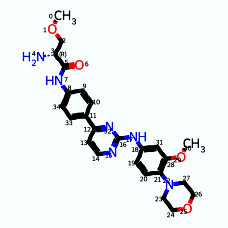 COC[C@@H](N)C(=O)Nc1ccc(-c2ccnc(Nc3ccc(N4CCOCC4)c(OC)c3)n2)cc1